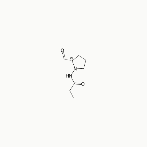 CCC(=O)NN1CCC[C@H]1C=O